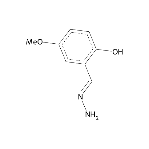 COc1ccc(O)c(C=NN)c1